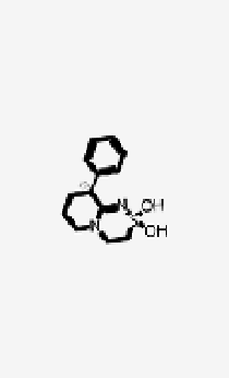 OS1(O)CCN2CCC[C@@H](c3cc[c]cc3)C2=N1